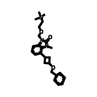 Cn1c(=O)n(COCC[Si](C)(C)C)c2cccc(C3CC(OCc4ccccc4)C3)c21